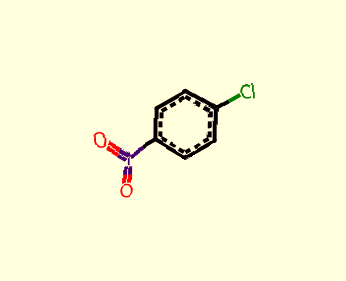 O=I(=O)c1ccc(Cl)cc1